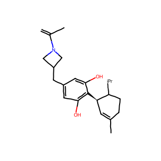 C=C(C)N1CC(Cc2cc(O)c([C@@H]3C=C(C)CCC3C(C)C)c(O)c2)C1